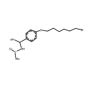 CCCC(N[S+]([O-])C(C)(C)C)c1ccc(OCCCCCCBr)cc1